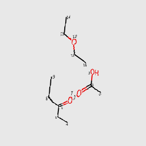 CC(=O)O.CCC(=O)CC.CCOCC